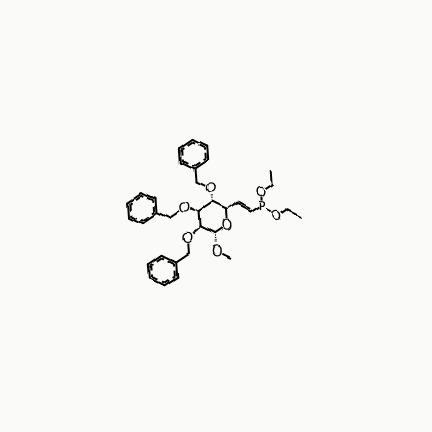 CCOP(C=C[C@H]1O[C@H](OC)[C@@H](OCc2ccccc2)[C@@H](OCc2ccccc2)[C@@H]1OCc1ccccc1)OCC